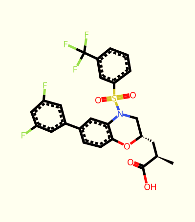 C[C@H](C[C@H]1CN(S(=O)(=O)c2cccc(C(F)(F)F)c2)c2cc(-c3cc(F)cc(F)c3)ccc2O1)C(=O)O